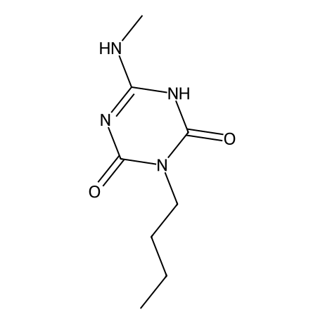 CCCCn1c(=O)nc(NC)[nH]c1=O